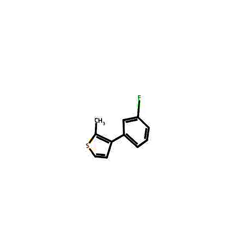 Cc1sccc1-c1cccc(F)c1